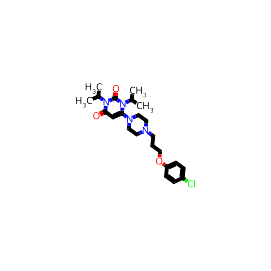 CC(C)n1c(N2CCN(CCCOc3ccc(Cl)cc3)CC2)cc(=O)n(C(C)C)c1=O